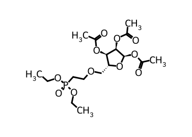 CCOP(=O)(CCOC[C@H]1O[C@H](OC(C)=O)[C@H](OC(C)=O)[C@@H]1OC(C)=O)OCC